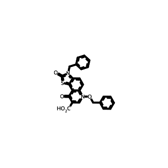 O=C(O)c1cn(OCc2ccccc2)c2ccc3c(sc(=O)n3Cc3ccccc3)c2c1=O